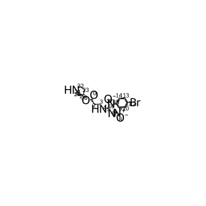 O=C(CCNc1n[n+]([O-])c2cc(Br)ccc2[n+]1[O-])OC1=CNCC1